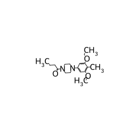 CCCC(=O)N1CCN(c2cc(OC)c(C)c(OCC)c2)CC1